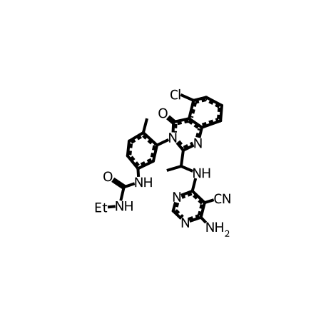 CCNC(=O)Nc1ccc(C)c(-n2c(C(C)Nc3ncnc(N)c3C#N)nc3cccc(Cl)c3c2=O)c1